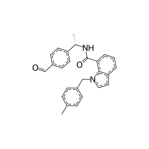 Cc1ccc(Cn2ccc3cccc(C(=O)N[C@@H](C)c4ccc(C=O)cc4)c32)cc1